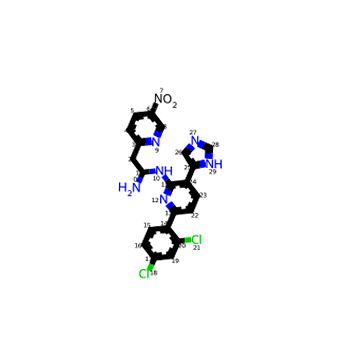 NC(Cc1ccc([N+](=O)[O-])cn1)Nc1nc(-c2ccc(Cl)cc2Cl)ccc1-c1cnc[nH]1